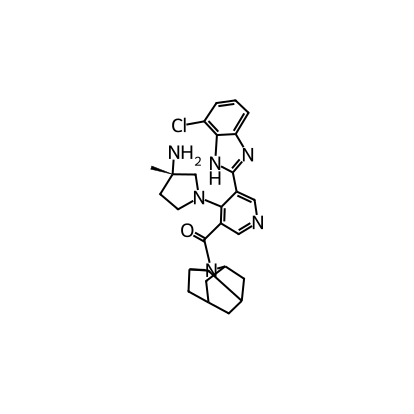 C[C@]1(N)CCN(c2c(C(=O)N3C4CC5CC(C4)CC3C5)cncc2-c2nc3cccc(Cl)c3[nH]2)C1